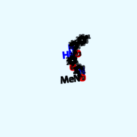 CNC(=O)c1cc(Oc2ccc(NC(=O)c3cc(-c4ccc(C)cc4)ccn3)cc2)ccn1